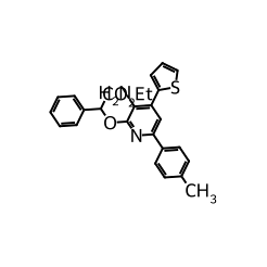 CCOC(=O)C(Oc1nc(-c2ccc(C)cc2)cc(-c2cccs2)c1N)c1ccccc1